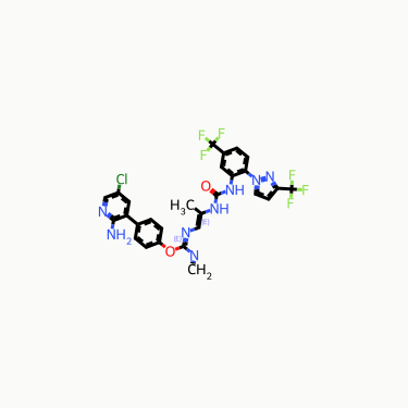 C=N/C(=N\C=C(/C)NC(=O)Nc1cc(C(F)(F)F)ccc1-n1ccc(C(F)(F)F)n1)Oc1ccc(-c2cc(Cl)cnc2N)cc1